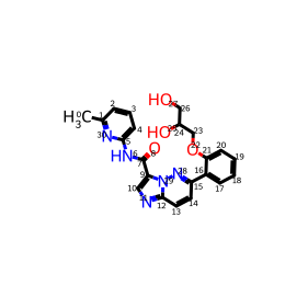 Cc1cccc(NC(=O)c2cnc3ccc(-c4ccccc4OCC(O)CO)nn23)n1